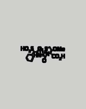 COC1=C(C(=O)O)N2C(=O)[C@@H](NC(=O)C(c3ccccc3)S(=O)(=O)O)[C@H]2SC1